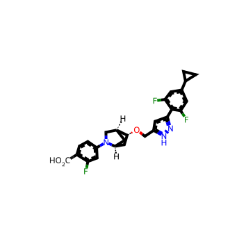 O=C(O)c1ccc(N2C[C@@H]3C[C@H]2C[C@H]3OCc2cc(-c3c(F)cc(C4CC4)cc3F)n[nH]2)cc1F